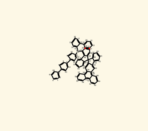 c1ccc(-c2ccc(-c3ccc(N(c4ccccc4-c4ccccc4)c4cccc5c4-c4ccccc4C54c5ccccc5-c5cc6c7ccccc7c7ccccc7c6cc54)cc3)cc2)cc1